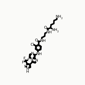 NCCCCC(N)C(=O)NCCCNC(=O)c1ccc(Nc2nccn3c(-c4c[nH]nc4C(F)(F)F)cnc23)cc1Cl